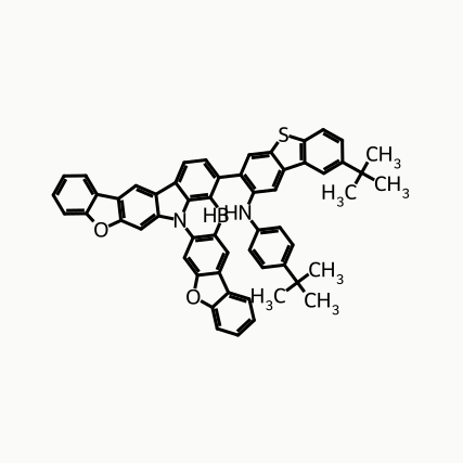 CC(C)(C)c1ccc(Nc2cc3c(cc2-c2ccc4c5cc6c(cc5n5c4c2Bc2cc4c(cc2-5)oc2ccccc24)oc2ccccc26)sc2ccc(C(C)(C)C)cc23)cc1